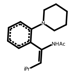 CC(=O)N/C(=C/C(C)C)c1ccccc1N1CCCCC1